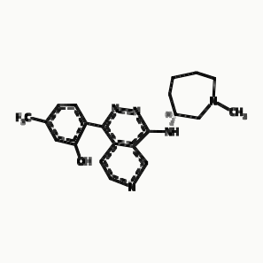 CN1CCCC[C@@H](Nc2nnc(-c3ccc(C(F)(F)F)cc3O)c3ccncc23)C1